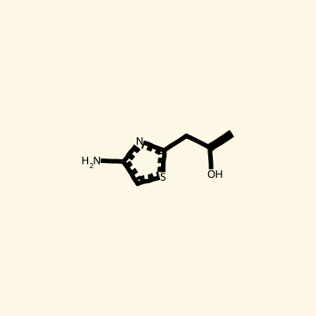 C=C(O)Cc1nc(N)cs1